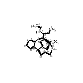 C=CPC(=C\C)/C1=C/c2ccccc2/C(c2ccc(C)cc2)=C/C=C/S/C=C\1